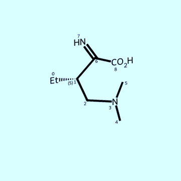 CC[C@@H](CN(C)C)C(=N)C(=O)O